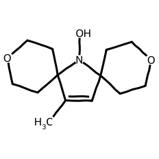 CC1=CC2(CCOCC2)N(O)C12CCOCC2